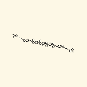 C=CC(=O)OCCCCCCOc1ccc(CCC(=O)Oc2ccc(C(=O)Oc3ccc(OC(=O)c4ccc(OC(=O)CCc5ccc(OCCCCCCOC(=O)C=C)cc5)cc4)c(C)c3)cc2)cc1